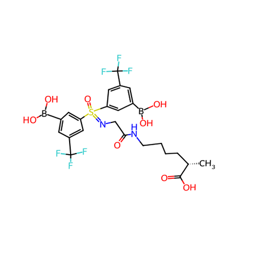 C[C@@H](CCCCNC(=O)CN=S(=O)(c1cc(B(O)O)cc(C(F)(F)F)c1)c1cc(B(O)O)cc(C(F)(F)F)c1)C(=O)O